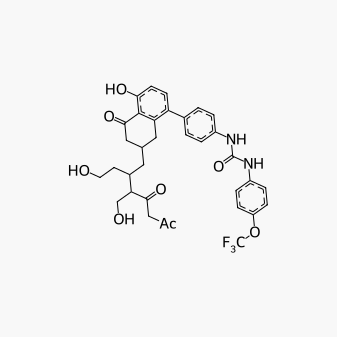 CC(=O)CC(=O)C(CO)C(CCO)CC1CC(=O)c2c(O)ccc(-c3ccc(NC(=O)Nc4ccc(OC(F)(F)F)cc4)cc3)c2C1